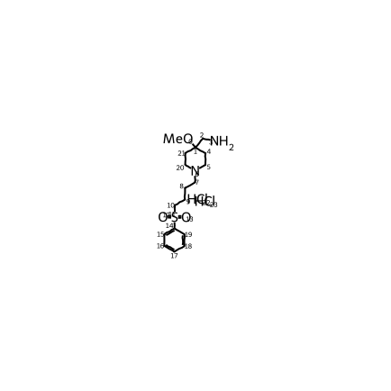 COC1(CN)CCN(CCCCS(=O)(=O)c2ccccc2)CC1.Cl.Cl